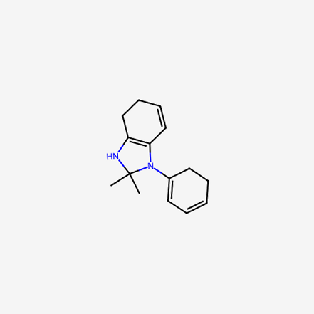 CC1(C)NC2=C(C=CCC2)N1C1=CC=CCC1